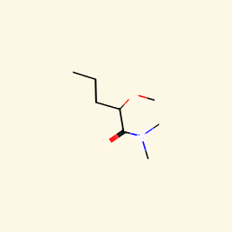 CCCC(OC)C(=O)N(C)C